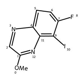 COc1cnc2ccc(F)c(I)c2n1